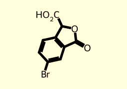 O=C1OC(C(=O)O)c2ccc(Br)cc21